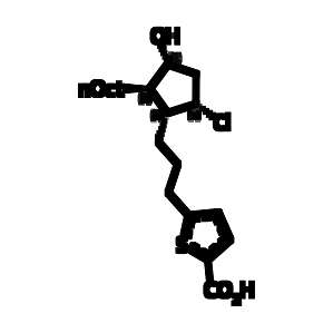 CCCCCCCC[C@@H]1[C@@H](CCCc2ccc(C(=O)O)s2)[C@@H](Cl)C[C@H]1O